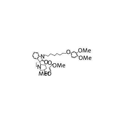 CC[C@H]1CN2CC[C@]3(C(=O)N(CCCCCCCCOc4ccc(OC)c(OC)c4)c4ccccc43)C2C[C@@H]1/C(=C\OC)C(=O)OC